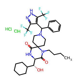 CCCCN1C(=O)[C@@H]([C@H](O)C2CCCCC2)NC(=O)C12CCN(C(c1ccccc1)c1c(C(F)(F)F)n[nH]c1C(F)(F)F)CC2.Cl.Cl